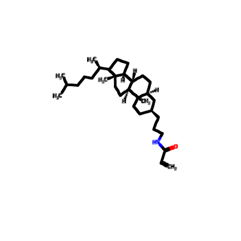 C=CC(=O)NCCC[C@H]1CC[C@@]2(C)[C@@H](CC[C@@H]3[C@@H]2CC[C@]2(C)C([C@H](C)CCCC(C)C)CC[C@@H]32)C1